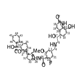 COc1cc(CNC[C@H](O)c2ccc(O)c3[nH]c(=O)ccc23)cc(F)c1C(=O)NCc1ccc(-c2cccc([C@](O)(C(=O)O)c3ccccc3)c2)s1